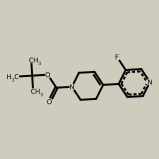 CC(C)(C)OC(=O)N1CC=C(c2ccncc2F)CC1